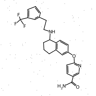 NC(=O)c1ccc(Oc2ccc3c(c2)CCCC3NCCc2cccc(C(F)(F)F)c2)nc1